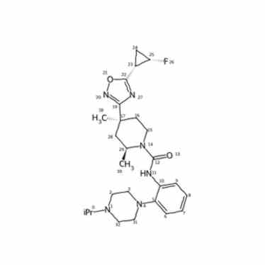 CC(C)N1CCN(c2ccccc2NC(=O)N2CC[C@](C)(c3noc([C@@H]4C[C@@H]4F)n3)C[C@@H]2C)CC1